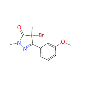 COc1cccc(C2=NN(C)C(=O)C2(C)Br)c1